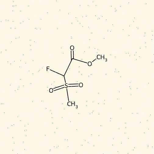 COC(=O)C(F)S(C)(=O)=O